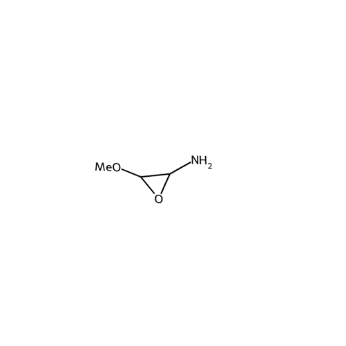 COC1OC1N